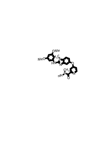 CCCN(C)C(=O)c1cc(Oc2ccc3c(c2)nc(Nc2cc(OC)cc(OC)c2)n3C)ccn1